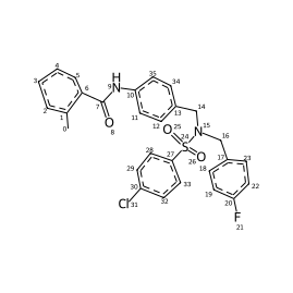 Cc1ccccc1C(=O)Nc1ccc(CN(Cc2ccc(F)cc2)S(=O)(=O)c2ccc(Cl)cc2)cc1